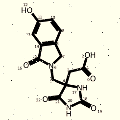 O=C(O)CC1(CN2Cc3ccc(O)cc3C2=O)NC(=O)NC1=O